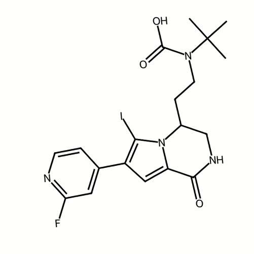 CC(C)(C)N(CCC1CNC(=O)c2cc(-c3ccnc(F)c3)c(I)n21)C(=O)O